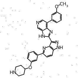 COc1cccc(-c2cncc3[nH]c(-c4n[nH]c5ccc(-c6cccc(OC7CCNCC7)c6)nc45)nc23)c1